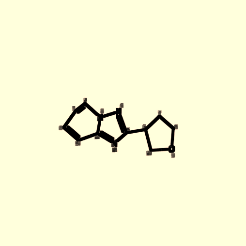 c1ccn2nc(C3CCOC3)nc2c1